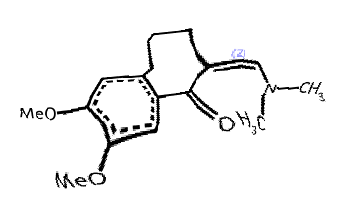 COc1cc2c(cc1OC)C(=O)/C(=C\N(C)C)CC2